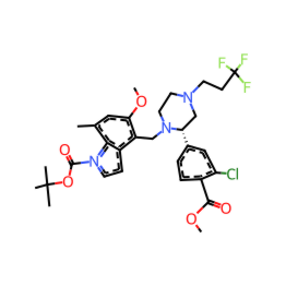 COC(=O)c1ccc([C@H]2CN(CCC(F)(F)F)CCN2Cc2c(OC)cc(C)c3c2ccn3C(=O)OC(C)(C)C)cc1Cl